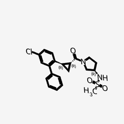 CS(=O)(=O)N[C@@H]1CCN(C(=O)[C@@H]2C[C@H]2c2ccc(Cl)cc2-c2ccccc2)C1